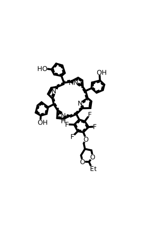 CCC1OCC(COc2c(F)c(F)c(-c3c4nc(c(-c5cccc(O)c5)c5ccc([nH]5)c(-c5cccc(O)c5)c5nc(c(-c6cccc(O)c6)c6ccc3[nH]6)C=C5)C=C4)c(F)c2F)CO1